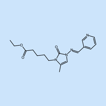 CCOC(=O)CCCCn1c(C)cn(N=Cc2cccnc2)c1=O